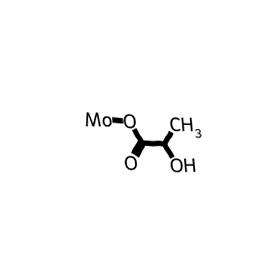 CC(O)C(=O)[O][Mo]